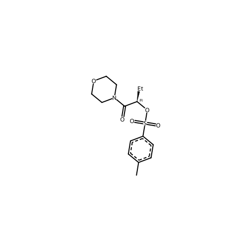 CC[C@@H](OS(=O)(=O)c1ccc(C)cc1)C(=O)N1CCOCC1